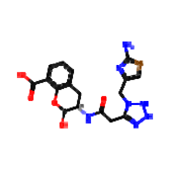 Nc1nc(CN2NNN=C2CC(=O)N[C@H]2Cc3cccc(C(=O)O)c3OB2O)cs1